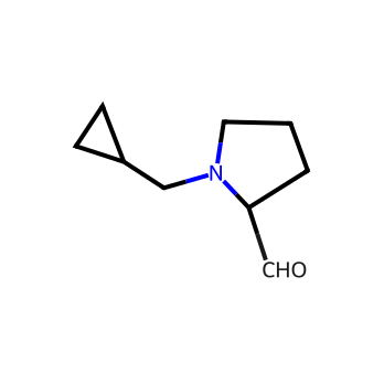 O=CC1CCCN1CC1CC1